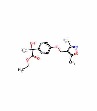 CCOC(=O)C(C)(O)c1ccc(OCc2c(C)noc2C)cc1